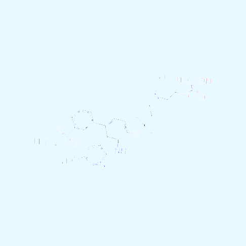 CCN(CCOP(=O)(O)O)CCC(F)(F)OC1=CC=C(c2cccc(S(=O)(=O)CC)c2)C2c3cc(C)cnc3NC12